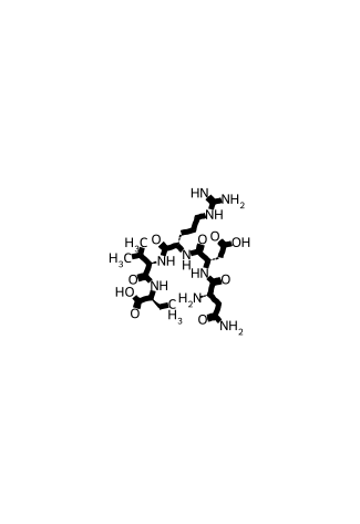 CC[C@H](NC(=O)[C@@H](NC(=O)[C@H](CCCNC(=N)N)NC(=O)[C@H](CC(=O)O)NC(=O)[C@@H](N)CC(N)=O)C(C)C)C(=O)O